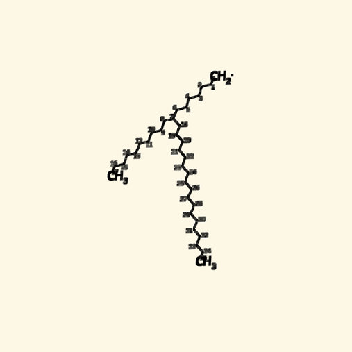 [CH2]CCCCCCC(CCCCCCCCCC)CCCCCCCCCCCCCCCCCC